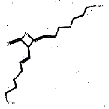 CCCCCCCCCCCCCC/C=C/C1C(=O)OC1=C=CCCCCCCCCCCCCCCC